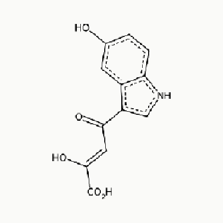 O=C(O)C(O)=CC(=O)c1c[nH]c2ccc(O)cc12